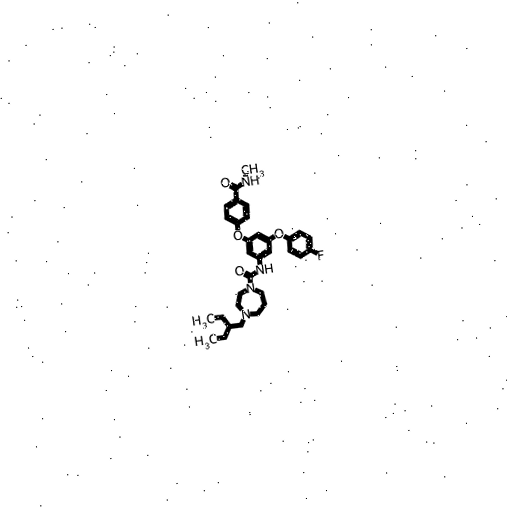 CCC(CC)CN1CCCN(C(=O)Nc2cc(Oc3ccc(F)cc3)cc(Oc3ccc(C(=O)NC)cc3)c2)CC1